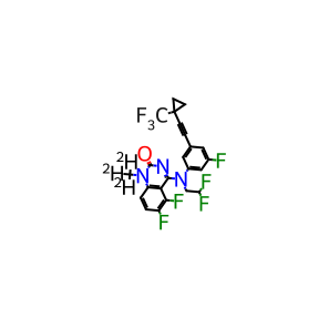 [2H]C([2H])([2H])n1c(=O)nc(N(CC(F)F)c2cc(F)cc(C#CC3(C(F)(F)F)CC3)c2)c2c(F)c(F)ccc21